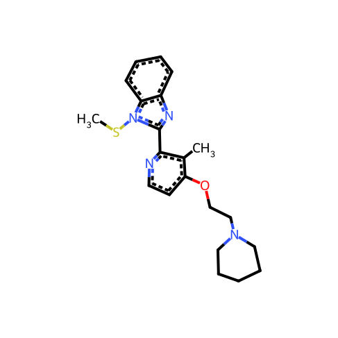 CSn1c(-c2nccc(OCCN3CCCCC3)c2C)nc2ccccc21